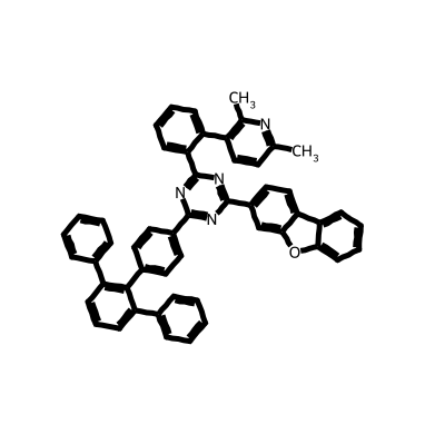 Cc1ccc(-c2ccccc2-c2nc(-c3ccc(-c4c(-c5ccccc5)cccc4-c4ccccc4)cc3)nc(-c3ccc4c(c3)oc3ccccc34)n2)c(C)n1